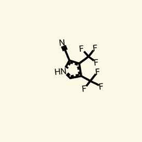 N#Cc1[nH]cc(C(F)(F)F)c1C(F)(F)F